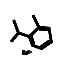 Cc1ccccc1C(C)C.[Ru+2]